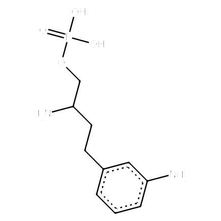 Nc1cccc(CCC(N)COP(=O)(O)O)c1